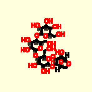 OC[C@H]1O[C@@H](O[C@H]2[C@H](O)[C@@H](O)[C@H](O[C@H]3[C@H](O)[C@@H](O)[C@H](O[C@H]4[C@H](O)[C@@H](O)[C@@H]5OC[C@H]4O5)O[C@@H]3CO)O[C@@H]2CO)[C@H](O)[C@@H](O)[C@@H]1O